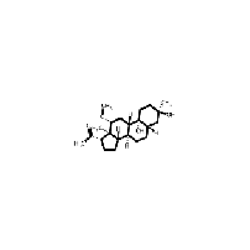 CO[C@@H]1C[C@H]2[C@@H](CC[C@H]3C[C@](C)(O)CC[C@@]32C)[C@@H]2CC[C@H](C(C)=O)[C@@]12C